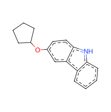 c1ccc2c(c1)[nH]c1ccc(OC3CCCC3)cc12